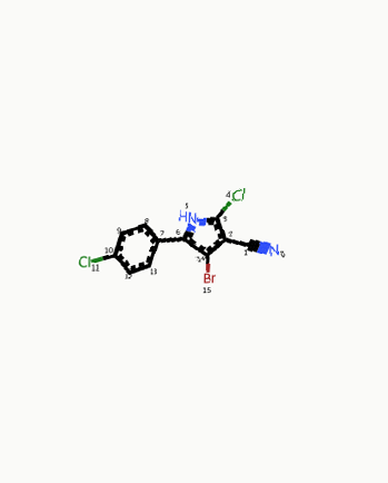 N#Cc1c(Cl)[nH]c(-c2ccc(Cl)cc2)c1Br